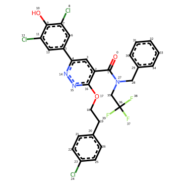 O=C(c1cc(-c2cc(Cl)c(O)c(Cl)c2)nnc1OCCc1ccc(Cl)cc1)N(Cc1ccccc1)CC(F)(F)F